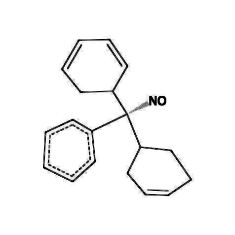 O=N[C@](c1ccccc1)(C1C=CC=CC1)C1CC=CCC1